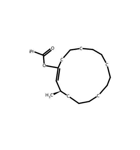 CC(C)C(=O)OC1=C[C@H](C)CCCCCCCCCCCC1